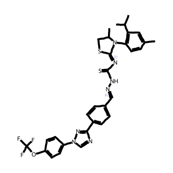 Cc1ccc(N2/C(=N/C(=S)N/N=C/c3ccc(-c4ncn(-c5ccc(OC(F)(F)F)cc5)n4)cc3)SCC2C)c(C(C)C)c1